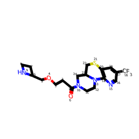 O=C(CCOCC1CCN1)N1CCN2c3ncc(C(F)(F)F)cc3SCC2C1